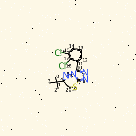 CC(C)(C)C1=Nn2c(nnc2-c2cccc(Cl)c2Cl)SC1